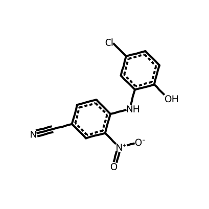 N#Cc1ccc(Nc2cc(Cl)ccc2O)c([N+](=O)[O-])c1